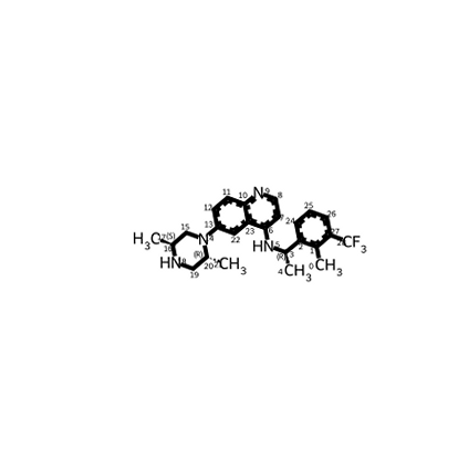 Cc1c([C@@H](C)Nc2ccnc3ccc(N4C[C@H](C)NC[C@H]4C)cc23)cccc1C(F)(F)F